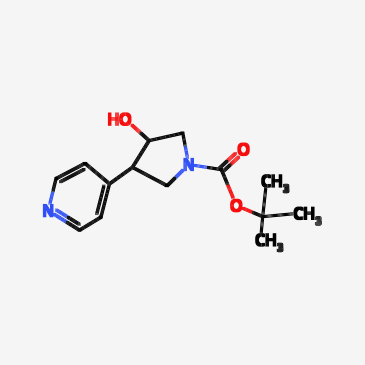 CC(C)(C)OC(=O)N1CC(O)C(c2ccncc2)C1